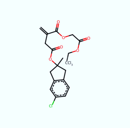 C=C(CC(=O)OC1(C)Cc2ccc(Cl)cc2C1)C(=O)OCC(=O)OCC(Cl)(Cl)Cl